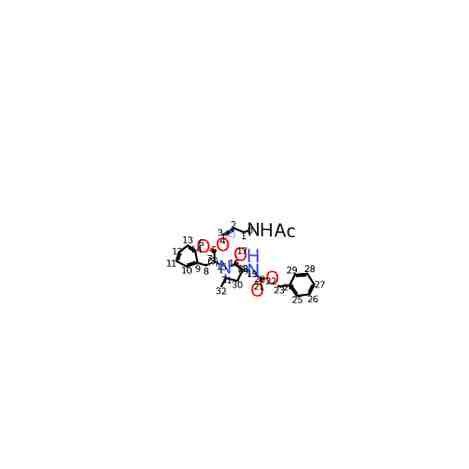 CC(=O)NC/C=C\OC(=O)[C@H](Cc1ccccc1)N1C(=O)[C@@H](NC(=O)OCc2ccccc2)CC1C